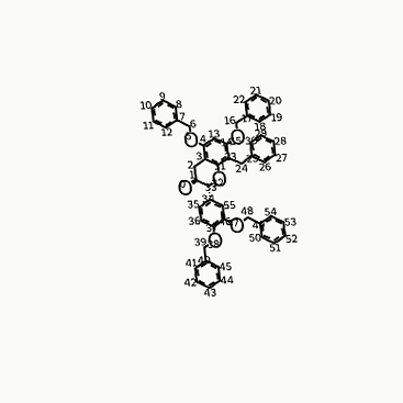 O=C1Cc2c(OCc3ccccc3)cc(OCc3ccccc3)c(Cc3ccccc3)c2O[C@@H]1c1ccc(OCc2ccccc2)c(OCc2ccccc2)c1